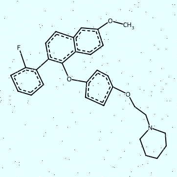 COc1ccc2c(Oc3ccc(OCCN4CCCCC4)cc3)c(-c3ccccc3F)ccc2c1